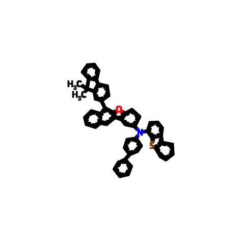 CC1(C)c2ccccc2-c2ccc(-c3c4ccccc4cc4c3oc3ccc(N(c5ccc(-c6ccccc6)cc5)c5cccc6c5sc5ccccc56)cc34)cc21